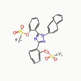 O=S(=O)(Oc1ccccc1-c1nc(-c2ccccc2OS(=O)(=O)C(F)(F)F)n(-c2ccc3ccccc3c2)n1)C(F)(F)F